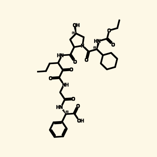 CCCC(NC(=O)C1C[C@@H](O)CN1C(=O)[C@@H](NC(=O)OCC)C1CCCCC1)C(=O)C(=O)NCC(=O)N[C@H](C(=O)O)c1ccccc1